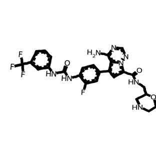 Nc1ncnn2c(C(=O)NCC3CNCCO3)cc(-c3ccc(NC(=O)Nc4cccc(C(F)(F)F)c4)c(F)c3)c12